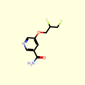 NC(=O)c1cncc(OCC(F)CF)c1